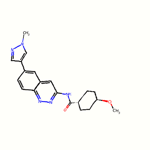 CO[C@H]1CC[C@H](C(=O)Nc2cc3cc(-c4cnn(C)c4)ccc3nn2)CC1